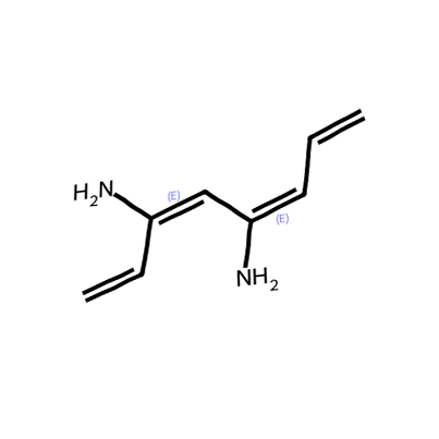 C=C/C=C(N)\C=C(\N)C=C